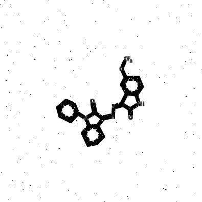 O=C1Nc2ccc(OC(F)(F)F)cc2C1=N/N=C1\C(=O)N(c2ccccc2)c2ccccc21